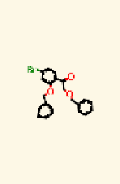 O=C(COCc1ccccc1)c1ccc(Br)cc1OCc1ccccc1